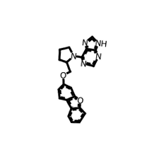 c1ccc2c(c1)oc1cc(OCC3CCCN3c3ncnc4[nH]cnc34)ccc12